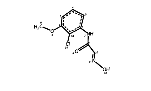 COc1cccc(NC(=O)C=NO)c1Cl